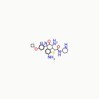 Nc1ccc2c3c1SC(C(=O)NC1CCCNC1)C3C(N)C(=O)C2(N)c1ccc(OC2CCC2)cc1